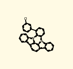 Clc1cccc(-c2cccc3c2n2c4ccccc4c4ccc5c6ccccc6n3c5c42)c1